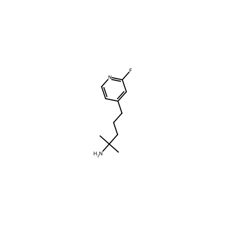 CC(C)(N)CCCc1ccnc(F)c1